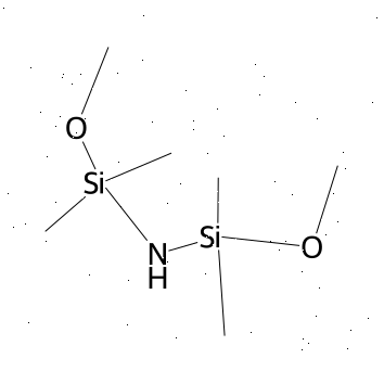 CO[Si](C)(C)N[Si](C)(C)OC